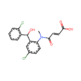 CN(C(=O)C=CC(=O)O)c1ccc(Cl)cc1C(O)c1ccccc1Cl